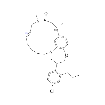 CCCc1cc(Cl)ccc1C1COc2ccc3cc2N(CCCC/C=C/CN(C)C(=O)C[C@@H]3C)C1